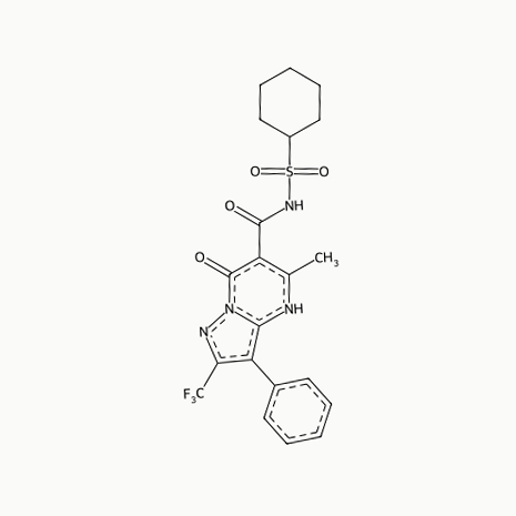 Cc1[nH]c2c(-c3ccccc3)c(C(F)(F)F)nn2c(=O)c1C(=O)NS(=O)(=O)C1CCCCC1